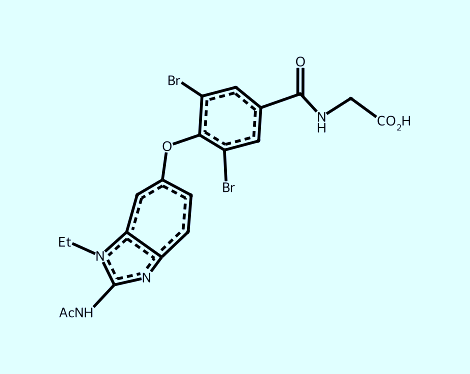 CCn1c(NC(C)=O)nc2ccc(Oc3c(Br)cc(C(=O)NCC(=O)O)cc3Br)cc21